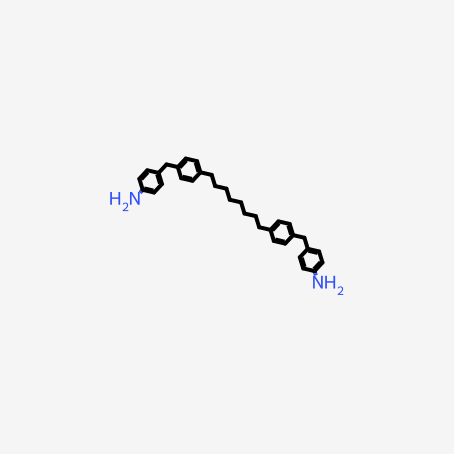 Nc1ccc(Cc2ccc(CCCCCCCCc3ccc(Cc4ccc(N)cc4)cc3)cc2)cc1